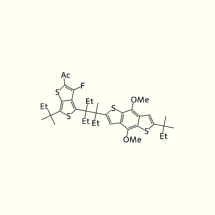 CCC(C)(C)c1cc2c(OC)c3sc(C(C)(CC)C(CC)(CC)c4sc(C(C)(C)CC)c5sc(C(C)=O)c(F)c45)cc3c(OC)c2s1